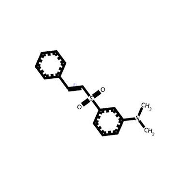 CN(C)c1cccc(S(=O)(=O)/C=C/c2ccccc2)c1